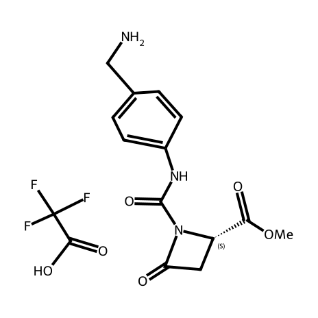 COC(=O)[C@@H]1CC(=O)N1C(=O)Nc1ccc(CN)cc1.O=C(O)C(F)(F)F